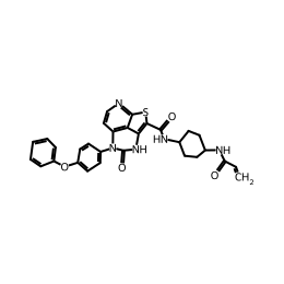 C=CC(=O)NC1CCC(NC(=O)c2sc3nccc4c3c2NC(=O)N4c2ccc(Oc3ccccc3)cc2)CC1